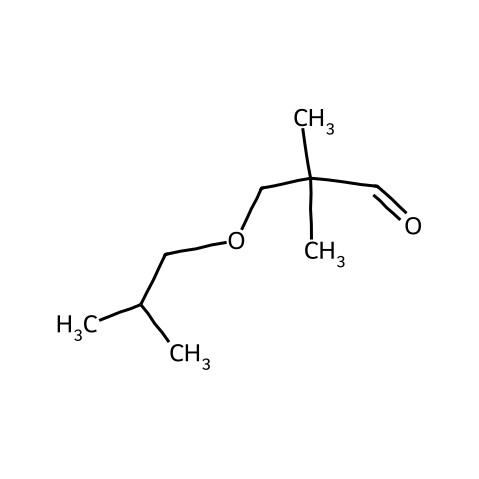 CC(C)COCC(C)(C)C=O